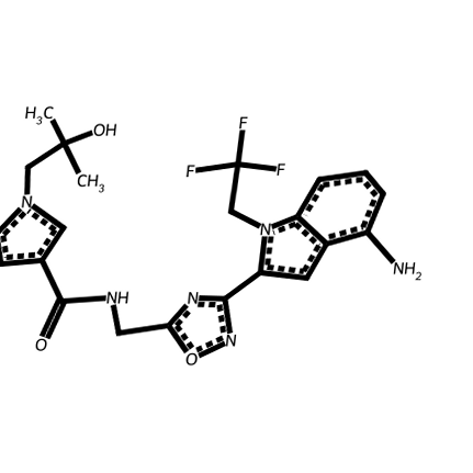 CC(C)(O)Cn1ccc(C(=O)NCc2nc(-c3cc4c(N)cccc4n3CC(F)(F)F)no2)c1